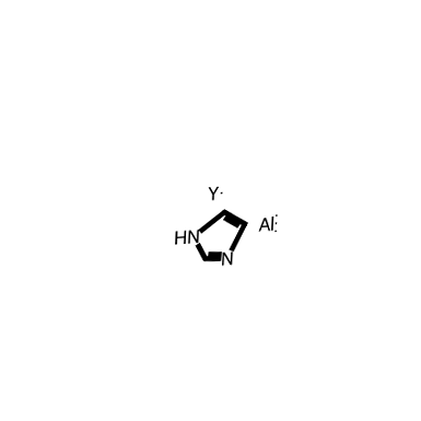 [Al].[Y].c1c[nH]cn1